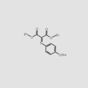 COc1ccc(N=C(C(=O)OC(C)C)C(=O)OC(C)C)cc1